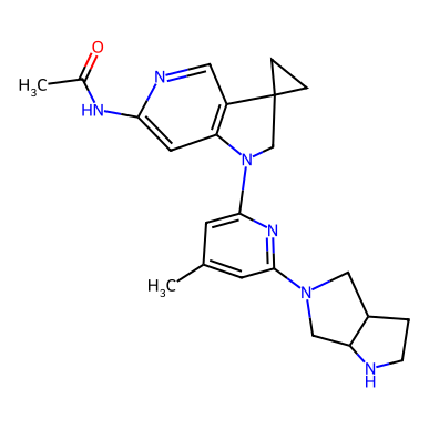 CC(=O)Nc1cc2c(cn1)C1(CC1)CN2c1cc(C)cc(N2CC3CCNC3C2)n1